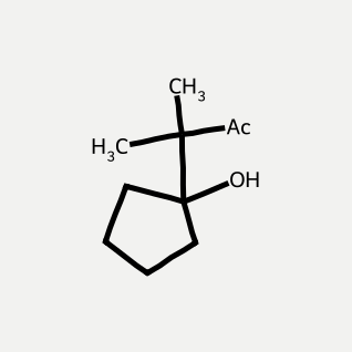 CC(=O)C(C)(C)C1(O)CCCC1